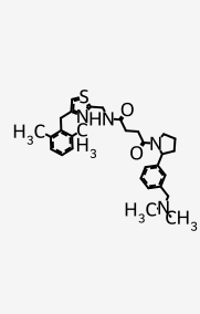 Cc1cccc(C)c1Cc1csc(CNC(=O)CCC(=O)N2CCCC2c2cccc(CN(C)C)c2)n1